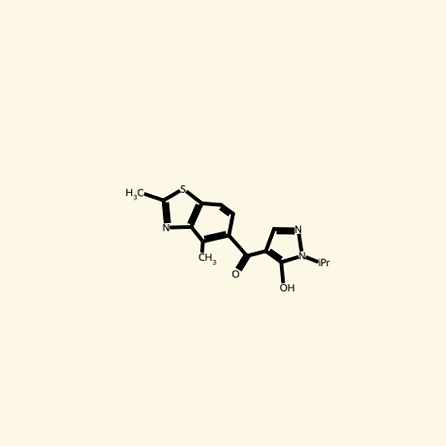 Cc1nc2c(C)c(C(=O)c3cnn(C(C)C)c3O)ccc2s1